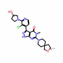 C[C@H]1CC2(CCN(c3nc4[nH]nc(-c5ccnc(N6CC[C@@H](O)C6)c5Cl)c4c(=O)n3C)CC2)CO1